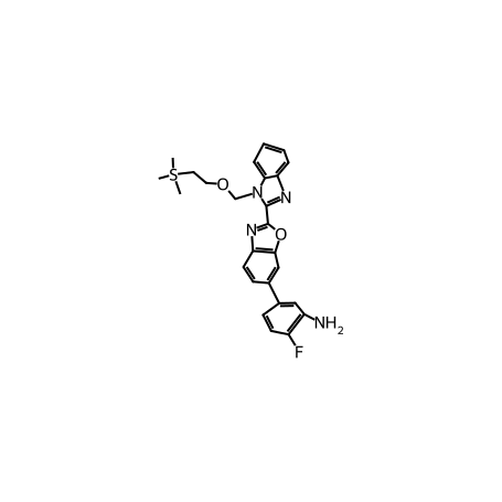 CS(C)(C)CCOCn1c(-c2nc3ccc(-c4ccc(F)c(N)c4)cc3o2)nc2ccccc21